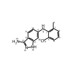 Cc1cccc(Cl)c1Nc1ccc2c(N)n[nH]c2c1